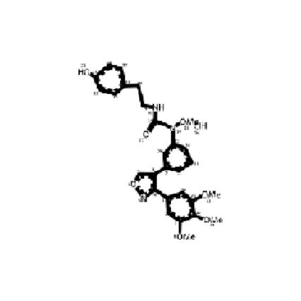 COc1cc(-c2nocc2-c2cccc(N(OC)C(=O)NCCc3ccc(O)cc3)c2)cc(OC)c1OC.Cl